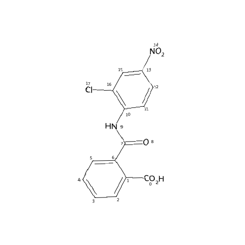 O=C(O)c1ccccc1C(=O)Nc1ccc([N+](=O)[O-])cc1Cl